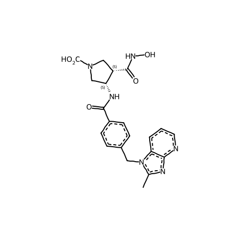 Cc1nc2ncccc2n1Cc1ccc(C(=O)N[C@@H]2CN(C(=O)O)C[C@@H]2C(=O)NO)cc1